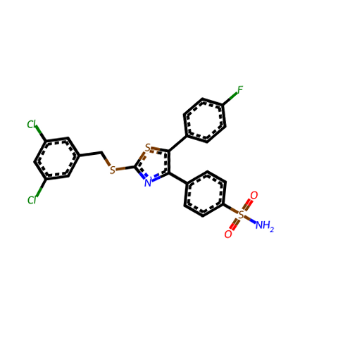 NS(=O)(=O)c1ccc(-c2nc(SCc3cc(Cl)cc(Cl)c3)sc2-c2ccc(F)cc2)cc1